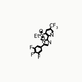 CCS(=O)(=O)c1cc(C(F)(F)F)cnc1-c1ncc(-c2cc(F)c(F)c(F)c2)n1C